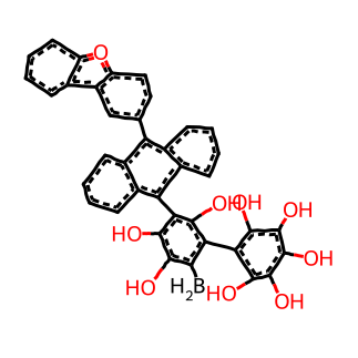 Bc1c(O)c(O)c(-c2c3ccccc3c(-c3ccc4oc5ccccc5c4c3)c3ccccc23)c(O)c1-c1c(O)c(O)c(O)c(O)c1O